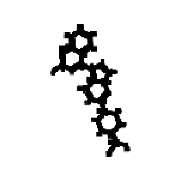 Cc1cc(-c2cnn3cc(N4CCC(N(C)C)CC4)cnc23)c2ccccc2n1